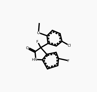 COc1ccc(Cl)cc1C1(F)C(=O)Nc2ccc(F)cc21